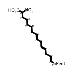 CCCCCC=CCC=CCC=CCCCCCC(C(=O)O)[N+](=O)[O-]